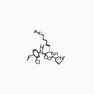 CC(=O)CCCCC[C@H](NC(=O)C1CCCN(C)C1)C(=O)Nc1ccc(F)c(Cl)c1